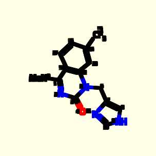 CNc1nc(=O)n(Cc2c[nH]cn2)c2cc(C(F)(F)F)ccc12